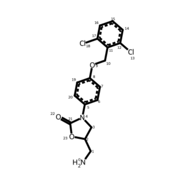 NCC1CN(c2ccc(OCc3c(Cl)cccc3Cl)cc2)C(=O)O1